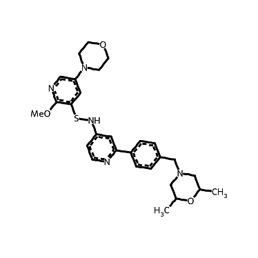 COc1ncc(N2CCOCC2)cc1SNc1ccnc(-c2ccc(CN3CC(C)OC(C)C3)cc2)c1